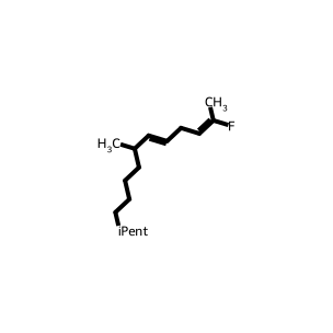 CCCC(C)CCCCC(C)/C=C/C/C=C(\C)F